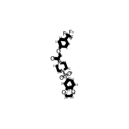 O=C(COc1ccc(C(F)(F)F)cc1)N1CCN(S(=O)(=O)c2ccc3c(c2)OCCO3)CC1